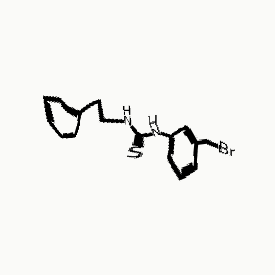 S=C(NCCc1ccccc1)Nc1cccc(Br)c1